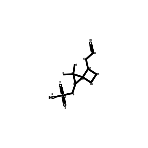 CC1(C)C(CS(=O)(=O)O)C12CCC2CC=O